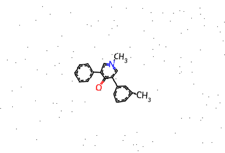 Cc1cccc(-c2cn(C)cc(-c3ccccc3)c2=O)c1